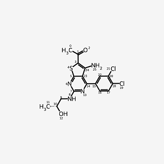 CC(=O)c1sc2nc(NC[C@@H](C)O)nc(-c3ccc(Cl)c(Cl)c3)c2c1N